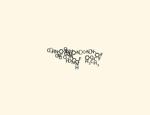 CC(C)Oc1ccccc1[C@H]1CN(Cc2ccc(F)c(F)c2)CCN1C1CC2(CCN(c3ccc(C(=O)NS(=O)(=O)c4ccc(NCC5CCOCC5)c([N+](=O)[O-])c4)c(N4c5cc6c(F)c[nH]c6nc5O[C@H]5COCC[C@@H]54)c3)CC2)C1